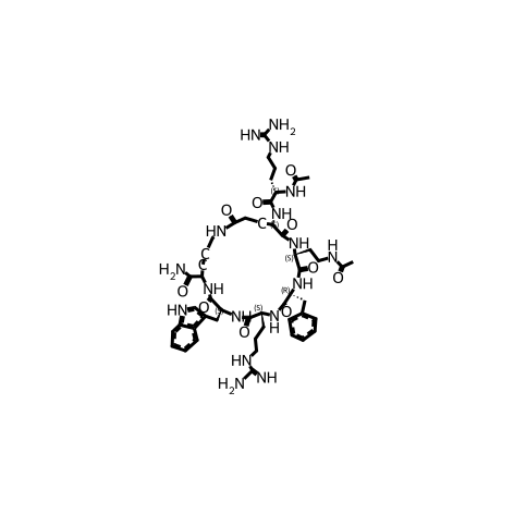 CC(=O)NCC[C@@H]1NC(=O)[C@@H](NC(=O)[C@H](CCCNC(=N)N)NC(C)=O)CCC(=O)NCCCC(C(N)=O)NC(=O)[C@H](Cc2c[nH]c3ccccc23)NC(=O)[C@H](CCCNC(=N)N)NC(=O)[C@@H](Cc2ccccc2)NC1=O